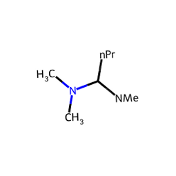 [CH2]NC(CCC)N(C)C